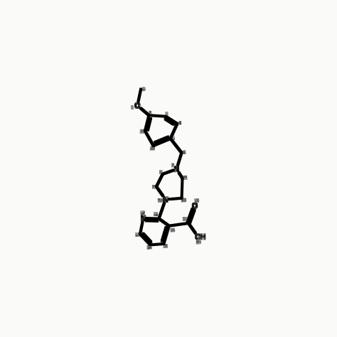 COc1ccc(CN2CCN(c3ncccc3C(=O)O)CC2)cc1